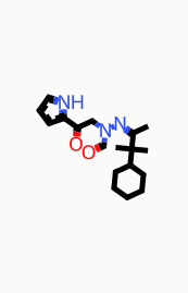 C/C(=N/N(C=O)CC(=O)c1ccc[nH]1)C(C)(C)C1CCCCC1